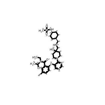 CCN(C(=O)c1cc(F)ccc1Oc1cncnc1N1CCC(O)(CNC[C@H]2CC[C@H](NS(C)(=O)=O)CC2)CC1)C(C)C